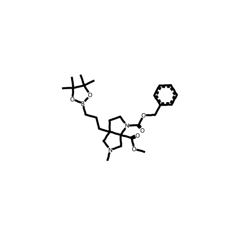 COC(=O)C12CN(C)CC1(CCCB1OC(C)(C)C(C)(C)O1)CCN2C(=O)OCc1ccccc1